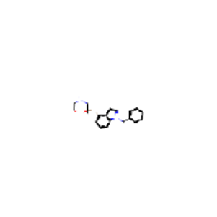 CC(=O)C1(Sc2cccc3c2ccn3Cc2ccccc2)CNCCO1